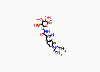 CCN(CC)c1ccc(/C=C(\C#N)C(=O)NC[C@H]2O[C@@H](O)[C@H](O)[C@@H](O)[C@@H]2O)cc1